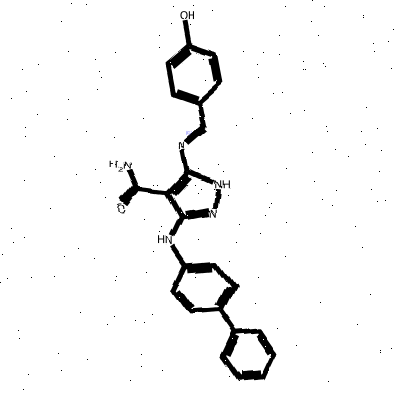 NC(=O)c1c(Nc2ccc(-c3ccccc3)cc2)n[nH]c1/N=C/c1ccc(O)cc1